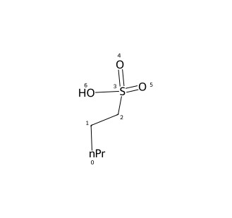 [CH2]CCCCS(=O)(=O)O